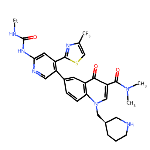 CCNC(=O)Nc1cc(-c2nc(C(F)(F)F)cs2)c(-c2ccc3c(c2)c(=O)c(C(=O)N(C)C)cn3C[C@@H]2CCCNC2)cn1